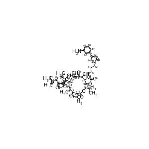 CC[C@H]1OC(=O)[C@@](C)(F)C(=O)[C@H](C)[C@@H](O[C@@H]2O[C@H](C)C[C@H](N(C)C)[C@H]2O)[C@@](C)(OC)C[C@@H](C)C(=O)C(C)C2N(CCCCn3cc(-c4cccc(N)c4)nn3)C(=O)O[C@@]21C